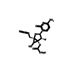 CCCCCCCC(=O)O[C@]12C(O)[C@@]1(CN=[N+]=[N-])O[C@@H](n1ccc(N)nc1=O)[C@@H]2F